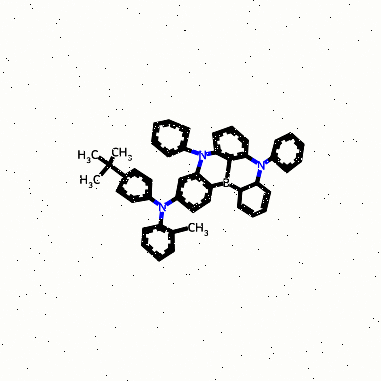 Cc1ccccc1N(c1ccc(C(C)(C)C)cc1)c1ccc2c(c1)N(c1ccccc1)c1cccc3c1B2C1C=CC=CC1N3c1ccccc1